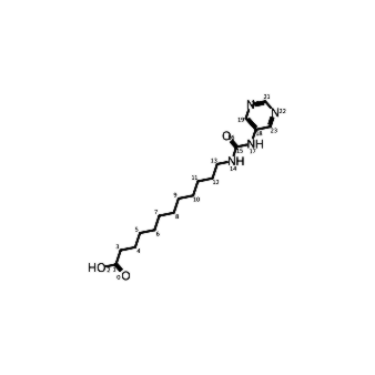 O=C(O)CCCCCCCCCCCNC(=O)Nc1cncnc1